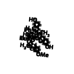 CC[C@H](C)[C@H](OC(=O)[C@H](Cc1ccc(OC)cc1)N(C)C)C(=O)N[C@@H](C(=O)N(C)[C@@H](Cc1ccc(O)cc1)C(=O)N(C)[C@@H](Cc1ccc(O)cc1)C(=O)OC)C(C)C